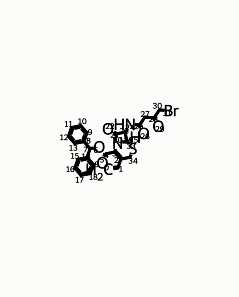 C=CC1=C(C(=O)OC(c2ccccc2)c2ccccc2)N2C(=O)C(NC(=O)CC(=O)CBr)[C@@H]2SC1